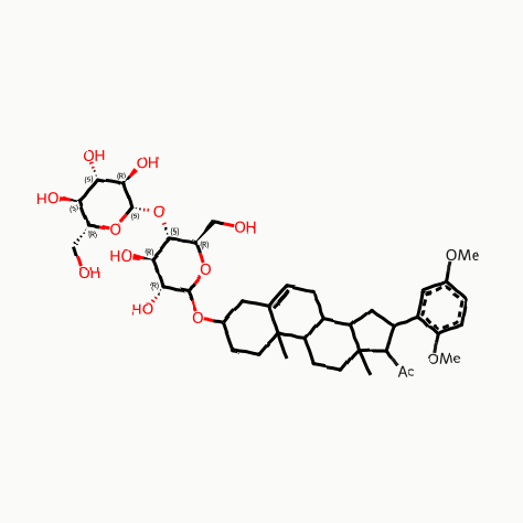 COc1ccc(OC)c(C2CC3C4CC=C5CC(OC6O[C@H](CO)[C@@H](O[C@@H]7O[C@H](CO)[C@@H](O)[C@H](O)[C@H]7O)[C@H](O)[C@H]6O)CCC5(C)C4CCC3(C)C2C(C)=O)c1